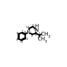 CC(C)C1CN(c2ccccc2)CCN1